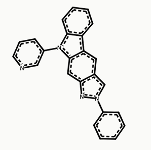 c1ccc(-n2cc3cc4c5ccccc5n(-c5cccnc5)c4cc3n2)cc1